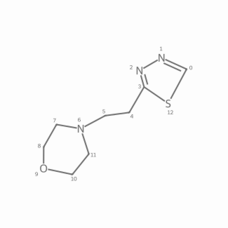 c1nnc(CCN2CCOCC2)s1